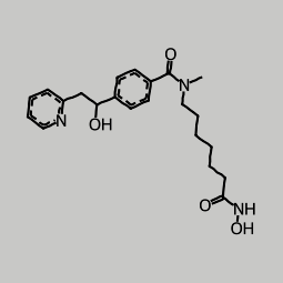 CN(CCCCCCC(=O)NO)C(=O)c1ccc(C(O)Cc2ccccn2)cc1